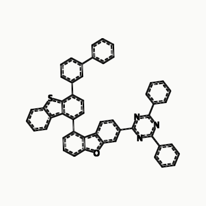 c1ccc(-c2cccc(-c3ccc(-c4cccc5oc6cc(-c7nc(-c8ccccc8)nc(-c8ccccc8)n7)ccc6c45)c4c3sc3ccccc34)c2)cc1